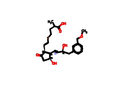 COCc1cccc(C[C@H](O)/C=C/[C@H]2[C@H](O)CC(=O)[C@@H]2CCSCCC(C)C(=O)O)c1